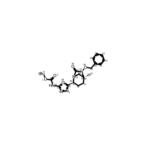 CC(C)(C)OC(=O)Nc1nnc([C@@H]2CC[C@H]3CN2C(=O)N3OCc2ccccc2)o1